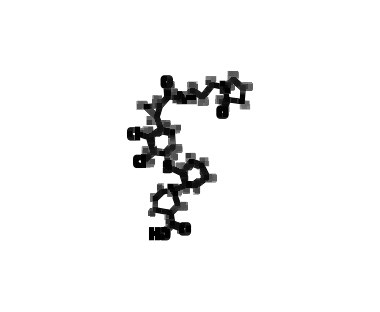 O=C(O)C1CCCN(c2ccccc2Sc2ccc(C3CC3C(=O)NCCCN3CCCC3=O)c(Cl)c2Cl)C1